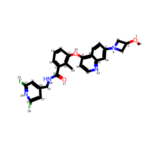 COC1CN(c2ccc3c(Oc4cccc(C(=O)NCc5cc(F)nc(F)c5)c4C)ccnc3c2)C1